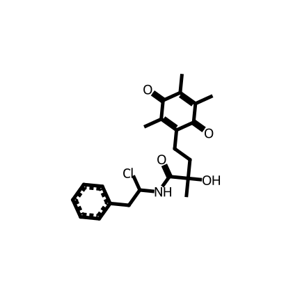 CC1=C(C)C(=O)C(CCC(C)(O)C(=O)NC(Cl)Cc2ccccc2)=C(C)C1=O